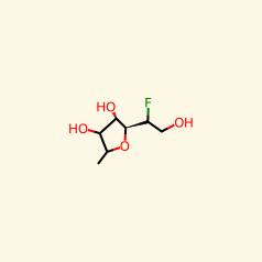 CC1O[C@H](C(F)CO)[C@H](O)C1O